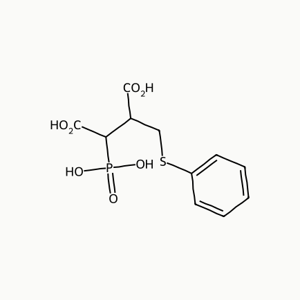 O=C(O)C(CSc1ccccc1)C(C(=O)O)P(=O)(O)O